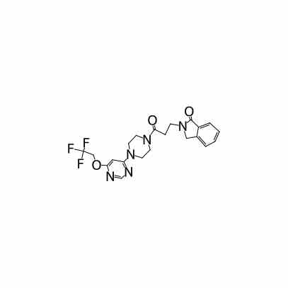 O=C(CCN1Cc2ccccc2C1=O)N1CCN(c2cc(OCC(F)(F)F)ncn2)CC1